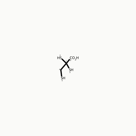 O=C(O)C(S)(S)CS